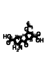 CC(C)Oc1cc(C(=O)O)cc(C(=O)c2ncc(C(=O)O)cc2N)c1